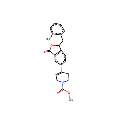 Cc1ccccc1CC1OC(=O)c2cc(C3=CCN(C(=O)OC(C)(C)C)CC3)ccc21